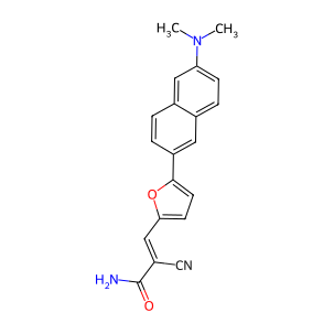 CN(C)c1ccc2cc(-c3ccc(/C=C(\C#N)C(N)=O)o3)ccc2c1